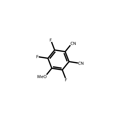 COc1c(F)c(F)c(C#N)c(C#N)c1F